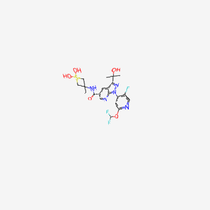 CC1(NC(=O)c2cnc3c(c2)c(C(C)(C)O)nn3-c2cc(OC(F)F)ncc2F)CS(O)(O)C1